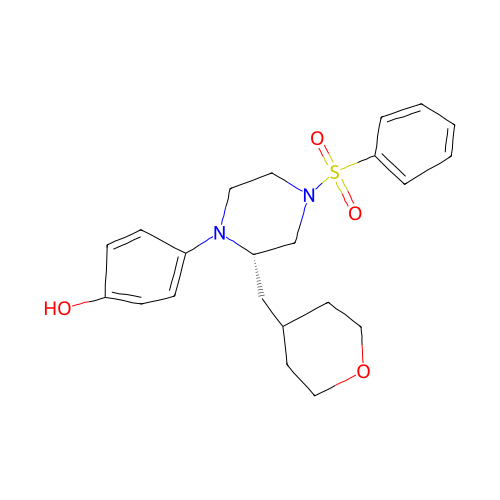 O=S(=O)(c1ccccc1)N1CCN(c2ccc(O)cc2)[C@@H](CC2CCOCC2)C1